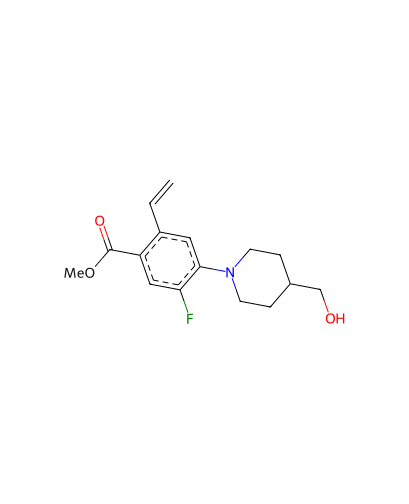 C=Cc1cc(N2CCC(CO)CC2)c(F)cc1C(=O)OC